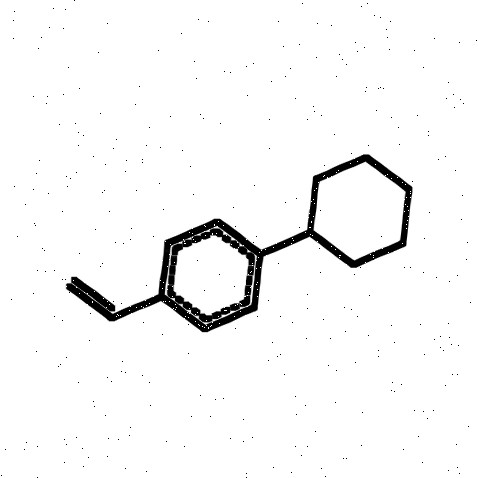 C=Cc1ccc(C2CCCCC2)cc1